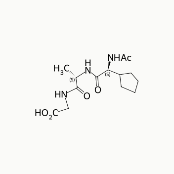 CC(=O)N[C@H](C(=O)N[C@@H](C)C(=O)NCC(=O)O)C1CCCC1